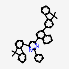 CC1(C)c2ccccc2-c2cc(-c3ccc(-c4cc(-c5cccc6c5-c5ccccc5C6(C)C)nc(-c5ccccc5)n4)c4ccccc34)ccc21